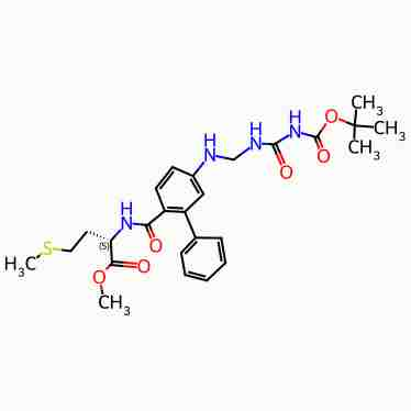 COC(=O)[C@H](CCSC)NC(=O)c1ccc(NCNC(=O)NC(=O)OC(C)(C)C)cc1-c1ccccc1